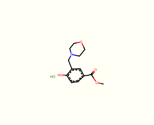 COC(=O)c1ccc(O)c(CN2CCOCC2)c1.Cl